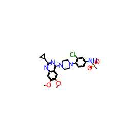 COc1cc2nc(C3CC3)nc(N3CCN(c4ccc(NS(C)(=O)=O)cc4Cl)CC3)c2cc1OC